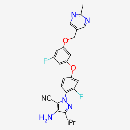 Cc1ncc(COc2cc(F)cc(Oc3ccc(-n4nc(C(C)C)c(N)c4C#N)c(F)c3)c2)cn1